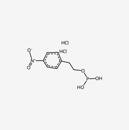 Cl.Cl.O=[N+]([O-])c1ccc(CCOP(O)O)cc1